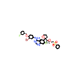 CCC(OCCS(=O)(=O)c1ccccc1)C1(c2cc3c(Nc4ccc(OCc5cccc(F)c5)c(Br)c4)ncnc3cc2F)CC=CO1